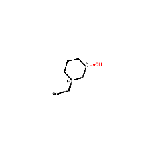 CC(C)(C)C[C@H]1CCC[C@H](O)C1